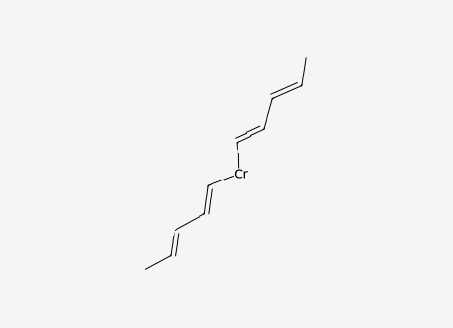 CC=CC=[CH][Cr][CH]=CC=CC